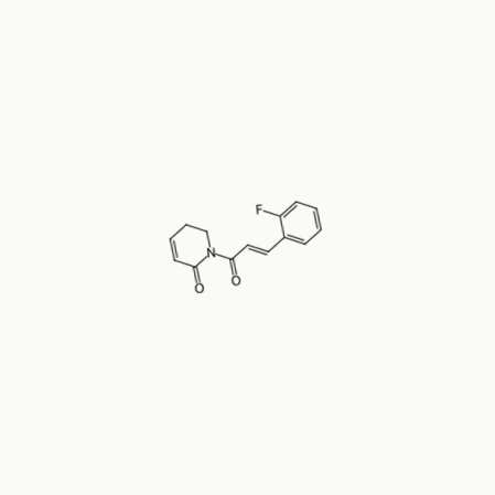 O=C1C=CCCN1C(=O)/C=C/c1ccccc1F